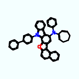 C1=CC(N(c2ccccc2)c2cc3c(oc4ccc5ccccc5c43)c3c2c2ccccc2n3-c2ccc(-c3ccccc3)cc2)=CCCC1